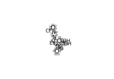 CCOc1c(C(=O)N2CCN(c3ccccc3Cl)CC2)ccc2c1C(S(=O)(=O)c1ccccc1)CS2(O)O